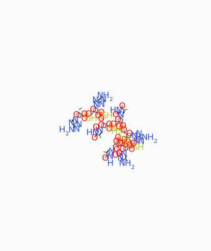 CC[C@H]1O[C@@H](n2cnc3c(N)ncnc32)CC1OP(=O)(S)OC[C@H]1O[C@@H](n2cnc3c(N)ncnc32)CC1OP(=O)(S)OC[C@H]1O[C@@H](n2cc(C)c(=O)[nH]c2=O)CC1OP(=O)(S)OC[C@H]1O[C@@H](n2cc(C)c(=O)[nH]c2=O)CC1OP(=O)(S)OC[C@H]1O[C@@H](n2cnc3c(N)ncnc32)CC1OP(=O)(S)OC[C@H]1O[C@@H](n2cc(C)c(=O)[nH]c2=O)CC1OP(=O)(S)OC[C@H]1O[C@@H](n2cc(C)c(N)nc2=O)CC1OP(=O)(S)OC